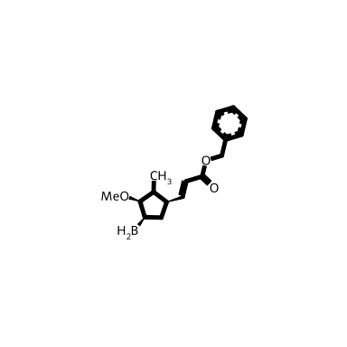 B[C@@H]1C[C@H](/C=C/C(=O)OCc2ccccc2)C(C)[C@@H]1OC